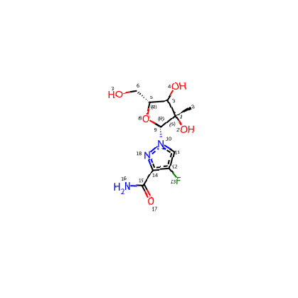 C[C@]1(O)C(O)[C@@H](CO)O[C@H]1n1cc(F)c(C(N)=O)n1